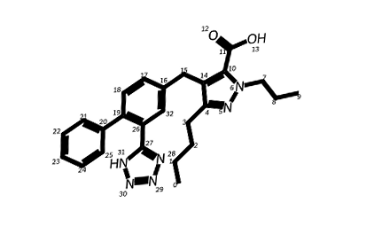 CCCCc1nn(CCC)c(C(=O)O)c1Cc1ccc(-c2ccccc2)c(-c2nnn[nH]2)c1